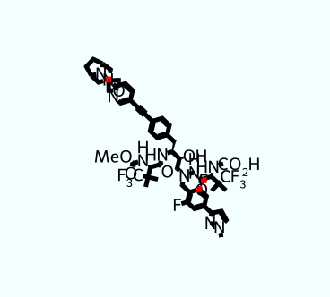 COC(=O)N[C@H](C(=O)N[C@@H](Cc1ccc(C#Cc2ccc(N3CC4CCC(C3)N4C3COC3)nc2)cc1)[C@@H](O)CN(Cc1c(F)cc(-c2ccn(C)n2)cc1F)NC(=O)[C@@H](NC(=O)O)C(C)(C)C(F)(F)F)C(C)(C)C(F)(F)F